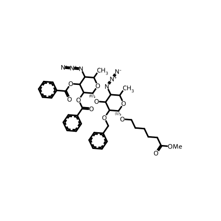 COC(=O)CCCCCO[C@H]1OC(C)C(N=[N+]=[N-])C(O[C@H]2OC(C)C(N=[N+]=[N-])C(OC(=O)c3ccccc3)C2OC(=O)c2ccccc2)C1OCc1ccccc1